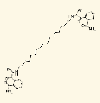 CC(C)C(NCCCCCCCCCCCCCCCCCCNC(C(=O)c1ccccc1C(N)=O)C(C)C)C(=O)c1ccccc1C(N)=O